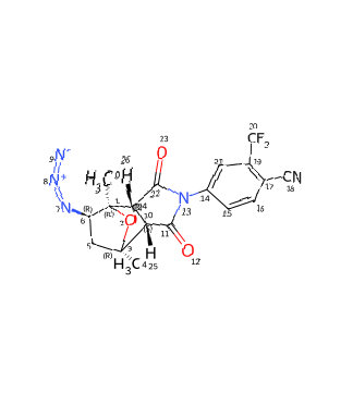 C[C@]12O[C@](C)(C[C@H]1N=[N+]=[N-])[C@H]1C(=O)N(c3ccc(C#N)c(C(F)(F)F)c3)C(=O)[C@H]12